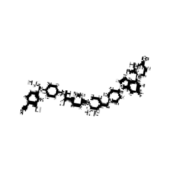 CN(c1ccc(C#N)c(Cl)c1)[C@H]1CC[C@H](NC(=O)c2ccc(N3CCC(CN4CCC(n5ccc6c(N7CCC(=O)NC7=O)cc(F)cc65)CC4)CC3)nn2)CC1.Cl